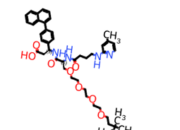 Cc1ccnc(NCCCC(=O)N[C@@H](COCCOCCOCCOCCC(C)(C)C)C(=O)N[C@@H](CC(=O)O)c2ccc(-c3cccc4ccccc34)cc2)c1